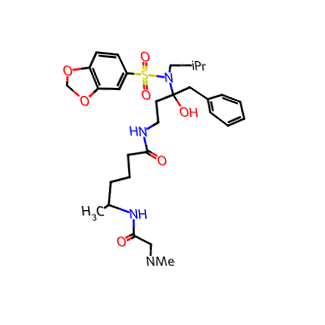 CNCC(=O)NC(C)CCCC(=O)NCCC(O)(Cc1ccccc1)N(CC(C)C)S(=O)(=O)c1ccc2c(c1)OCO2